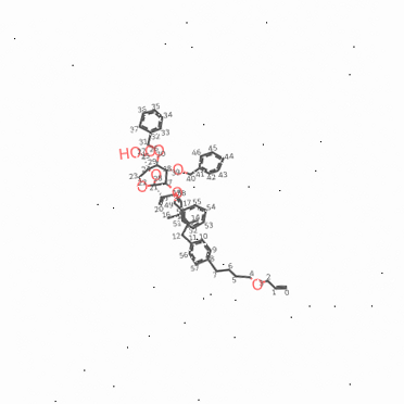 C=CCOCCCCc1ccc(C/C(C)=C(C)/C=C\C(=C)[C@]23OC[C@](C(=O)O)(O2)[C@@H](OCc2ccccc2)[C@H](OCc2ccccc2)[C@H]3OCc2ccccc2)cc1